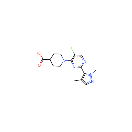 Cc1cnn(C)c1-c1ncc(F)c(N2CCC(C(=O)O)CC2)n1